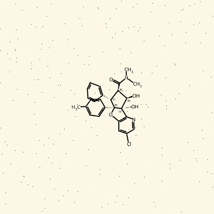 Cc1ccc([C@@]23Oc4cc(Cl)cnc4[C@]2(O)[C@H](O)[C@H](C(=O)N(C)C)[C@H]3c2ccccc2)cc1